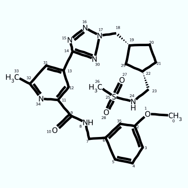 COc1cccc(CNC(=O)c2cc(-c3nnn(C[C@@H]4CC[C@H](CNS(C)(=O)=O)C4)n3)cc(C)n2)c1